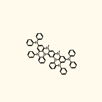 CN1c2cc3c(cc2B2c4ccccc4N(c4ccccc4)c4cc(N(c5ccccc5)c5ccccc5)cc1c42)B1c2ccccc2N(c2ccccc2)c2cc(N(c4ccccc4)c4ccccc4)cc(c21)N3C